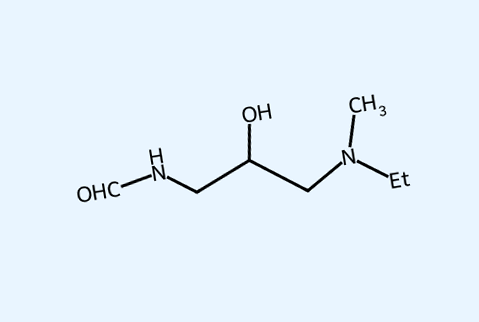 CCN(C)CC(O)CNC=O